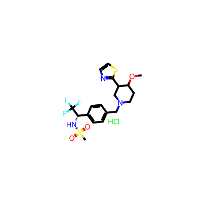 COC1CCN(Cc2ccc([C@H](NS(C)(=O)=O)C(F)(F)F)cc2)CC1c1nccs1.Cl